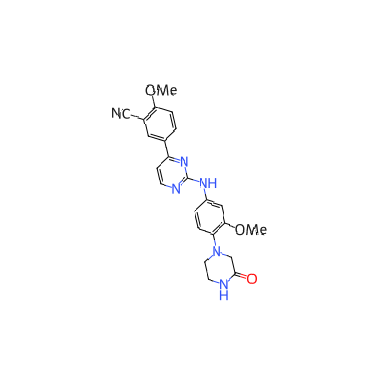 COc1ccc(-c2ccnc(Nc3ccc(N4CCNC(=O)C4)c(OC)c3)n2)cc1C#N